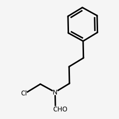 O=CN(CCl)CCCc1ccccc1